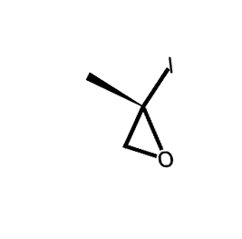 C[C@]1(I)CO1